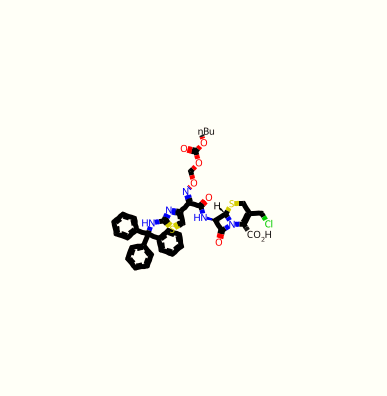 CCCCOC(=O)OCO/N=C(\C(=O)N[C@@H]1C(=O)N2C(C(=O)O)=C(CCl)CS[C@H]12)c1csc(NC(c2ccccc2)(c2ccccc2)c2ccccc2)n1